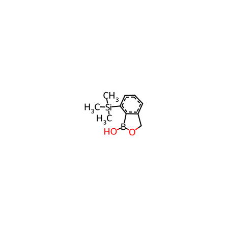 C[Si](C)(C)c1cccc2c1B(O)OC2